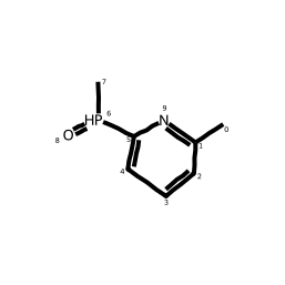 Cc1cccc([PH](C)=O)n1